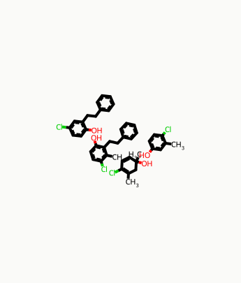 CC1=C(Cl)C=CC(C)(O)C1.Cc1c(Cl)ccc(O)c1CCc1ccccc1.Cc1cc(O)ccc1Cl.Oc1ccc(Cl)cc1CCc1ccccc1